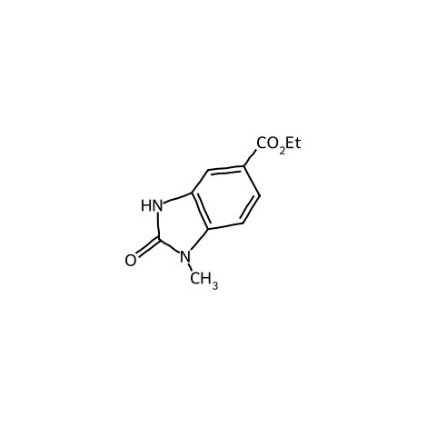 CCOC(=O)c1ccc2c(c1)[nH]c(=O)n2C